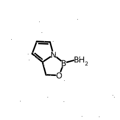 BB1OCc2cccn21